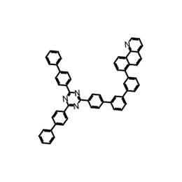 c1ccc(-c2ccc(-c3nc(-c4ccc(-c5ccccc5)cc4)nc(-c4ccc(-c5cccc(-c6cccc(-c7cccc8c7ccc7cccnc78)c6)c5)cc4)n3)cc2)cc1